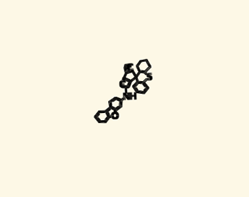 c1ccc2c(c1)SC1=C(CCCC1)C21c2ccccc2-c2ccc(Nc3ccc4c(c3)oc3ccccc34)cc21